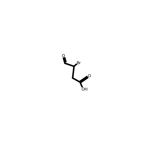 O=CC(Br)CC(=O)O